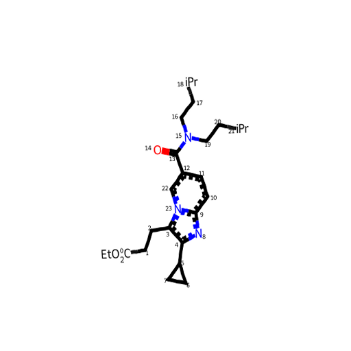 CCOC(=O)CCc1c(C2CC2)nc2ccc(C(=O)N(CCC(C)C)CCC(C)C)cn12